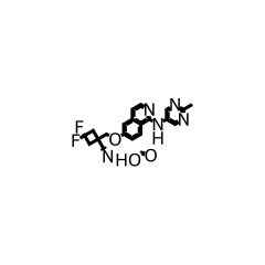 Cc1ncc(Nc2nccc3cc(OCC4(C#N)CC(F)(F)C4)ccc23)cn1.O=CO